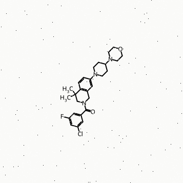 CC1(C)CN(C(=O)c2cc(F)cc(Cl)c2)Cc2cc(N3CCC(N4CCOCC4)CC3)ccc21